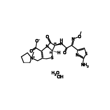 CON=C(C(=O)N[C@@H]1C(=O)N2C(C(=O)[O-])=C(C[N+]3(C)CCCC3)CS[C@H]12)c1csc(N)n1.Cl.O